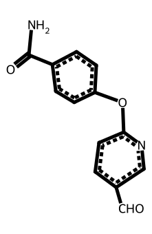 NC(=O)c1ccc(Oc2ccc(C=O)cn2)cc1